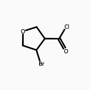 O=C(Cl)C1COCC1Br